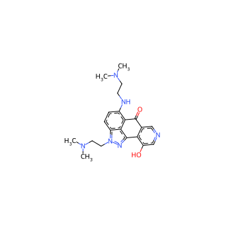 CN(C)CCNc1ccc2c3c(nn2CCN(C)C)-c2c(O)cncc2C(=O)c13